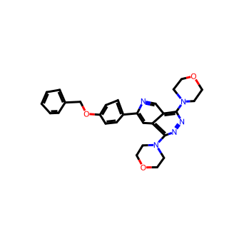 c1ccc(COc2ccc(-c3cc4c(N5CCOCC5)nnc(N5CCOCC5)c4cn3)cc2)cc1